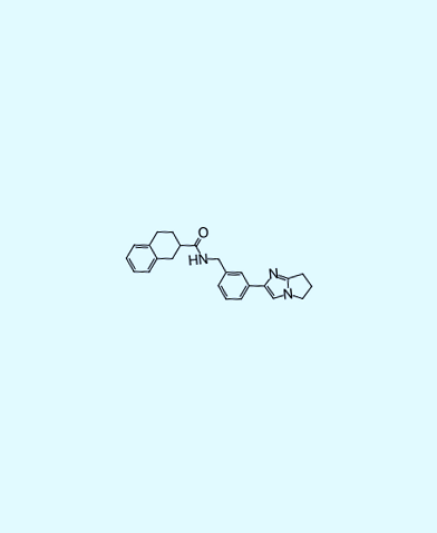 O=C(NCc1cccc(-c2cn3c(n2)CCC3)c1)C1CCc2ccccc2C1